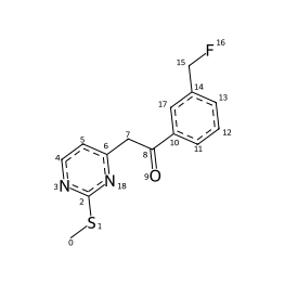 CSc1nccc(CC(=O)c2cccc(CF)c2)n1